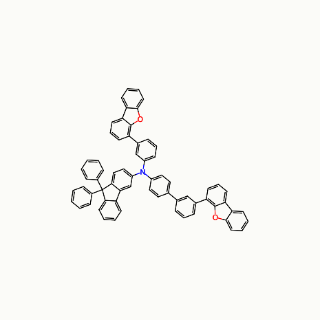 c1ccc(C2(c3ccccc3)c3ccccc3-c3cc(N(c4ccc(-c5cccc(-c6cccc7c6oc6ccccc67)c5)cc4)c4cccc(-c5cccc6c5oc5ccccc56)c4)ccc32)cc1